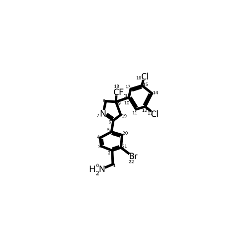 NCc1ccc(C2=NCC(c3cc(Cl)cc(Cl)c3)(C(F)(F)F)C2)cc1Br